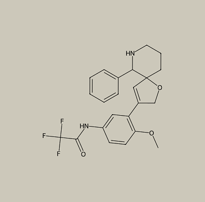 COc1ccc(NC(=O)C(F)(F)F)cc1C1=CC2(CCCNC2c2ccccc2)OC1